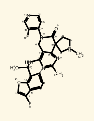 Cc1nc(N[C@H](C)c2cccc3c(F)coc23)c2c(n1)C1(CCN(C)C1)C(=O)N(c1ccncc1F)C2